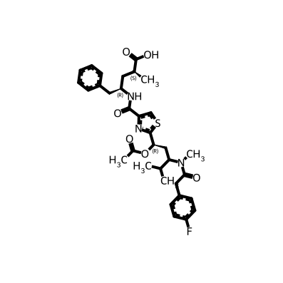 CC(=O)O[C@H](CC(C(C)C)N(C)C(=O)Cc1ccc(F)cc1)c1nc(C(=O)N[C@@H](Cc2ccccc2)C[C@H](C)C(=O)O)cs1